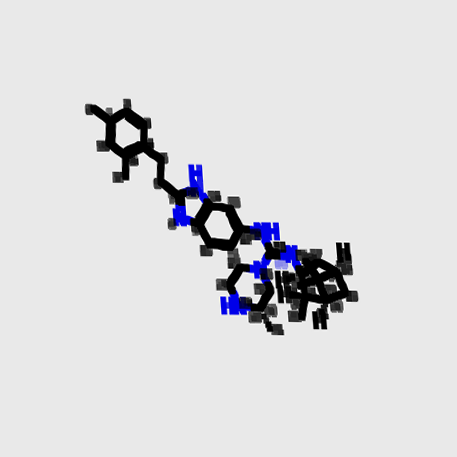 Cc1ccc(CCc2nc3ccc(N/C(=N/[C@H]4C[C@H]5C[C@@H]([C@@H]4C)C5(C)C)N4CCN[C@@H](C)C4)cc3[nH]2)c(C)c1